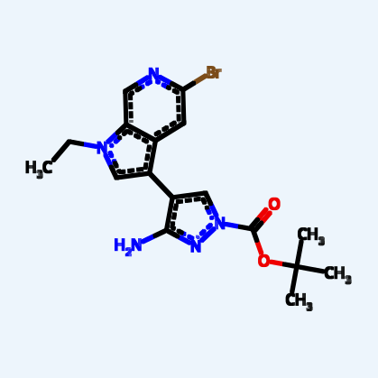 CCn1cc(-c2cn(C(=O)OC(C)(C)C)nc2N)c2cc(Br)ncc21